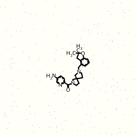 CC1(C)Cc2c(CN3CCC4(CCN(C(=O)c5ccc(N)cn5)C4)C3)cccc2O1